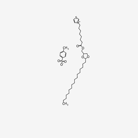 CCCCCCCCCCCCCCCCCC1OCC(COC(=O)CCCCCCC[n+]2ccsc2)O1.Cc1ccc(S(=O)(=O)[O-])cc1